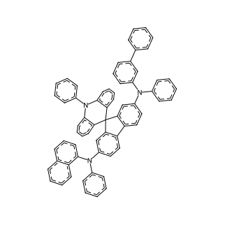 c1ccc(-c2cccc(N(c3ccccc3)c3ccc4c(c3)C3(c5cc(N(c6ccccc6)c6cccc7ccccc67)ccc5-4)c4ccccc4N(c4ccccc4)c4ccccc43)c2)cc1